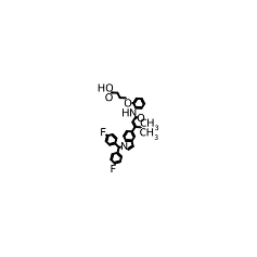 CC(C)C(=CC(=O)Nc1ccccc1OCCCC(=O)O)c1ccc2c(ccn2C(c2ccc(F)cc2)c2ccc(F)cc2)c1